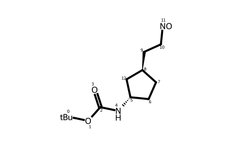 CC(C)(C)OC(=O)N[C@H]1CC[C@H](CCN=O)C1